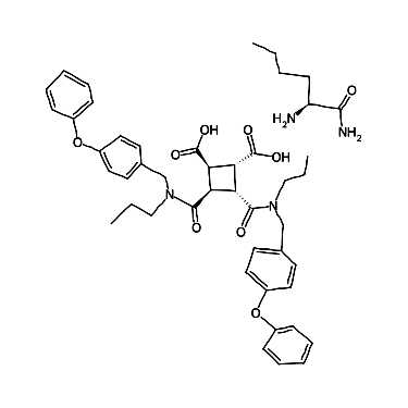 CCCC[C@H](N)C(N)=O.CCCN(Cc1ccc(Oc2ccccc2)cc1)C(=O)[C@H]1[C@@H](C(=O)O)[C@H](C(=O)O)[C@@H]1C(=O)N(CCC)Cc1ccc(Oc2ccccc2)cc1